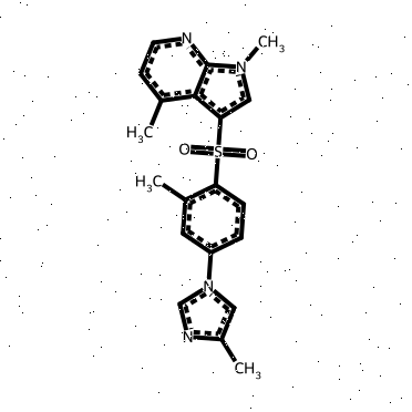 Cc1cn(-c2ccc(S(=O)(=O)c3cn(C)c4nccc(C)c34)c(C)c2)cn1